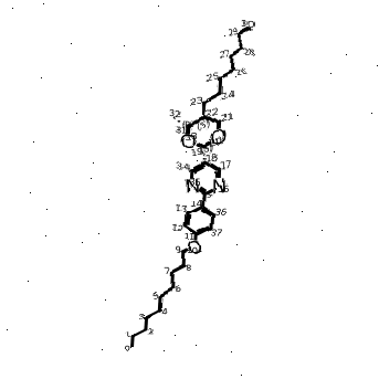 CCCCCCCCCCOc1ccc(-c2ncc([C@H]3OC[C@H](CCCCCCCC)[C@@H](C)O3)cn2)cc1